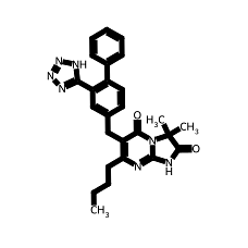 CCCCc1nc2n(c(=O)c1Cc1ccc(-c3ccccc3)c(-c3nnn[nH]3)c1)C(C)(C)C(=O)N2